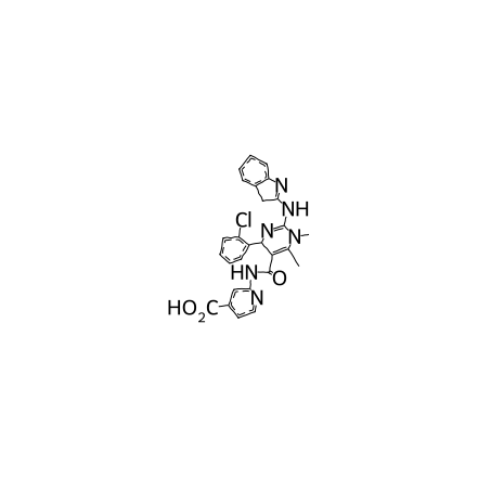 CC1=C(C(=O)Nc2cc(C(=O)O)ccn2)C(c2ccccc2Cl)N=C(NC2=Nc3ccccc3C2)N1C